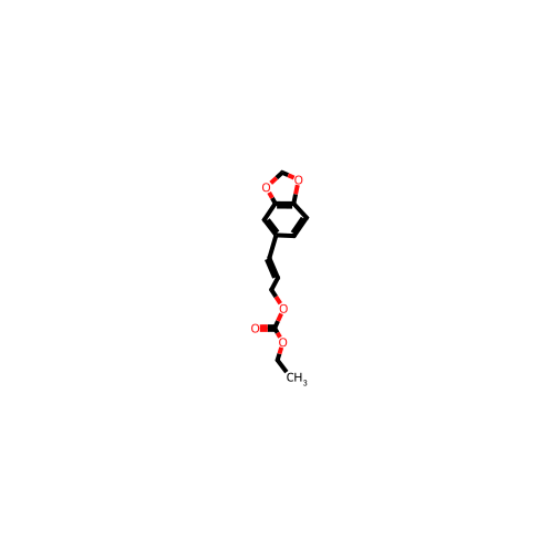 CCOC(=O)OC/C=C/c1ccc2c(c1)OCO2